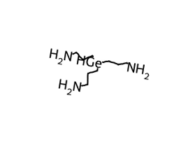 NCC[CH2][GeH]([CH2]CCN)[CH2]CCN